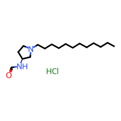 CCCCCCCCCCCCN1CC[C@H](NC=O)C1.Cl